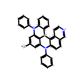 Cc1cc2c3c(c1)N(c1ccccc1)c1ccc4cnccc4c1B3c1ccccc1N2c1ccccc1